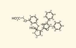 O=C(O)COc1cccc(C[C@@]2(O)CCC=C2c2nc(-c3ccccc3)c(-c3ccccc3)o2)c1